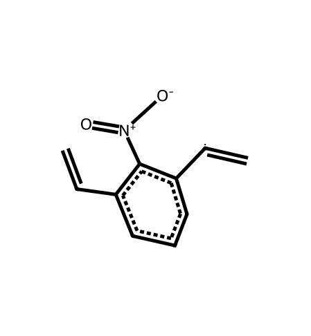 C=[C]c1cccc(C=C)c1[N+](=O)[O-]